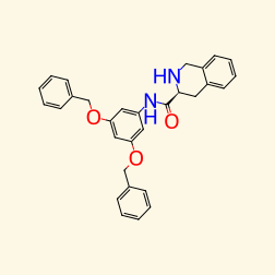 O=C(Nc1cc(OCc2ccccc2)cc(OCc2ccccc2)c1)[C@@H]1Cc2ccccc2CN1